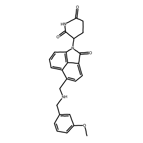 COc1cccc(CNCc2ccc3c4c(cccc24)N(C2CCC(=O)NC2=O)C3=O)c1